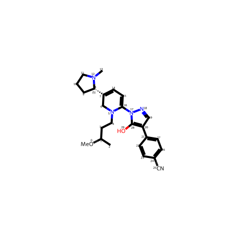 COC(C)CCN1CC([C@@H]2CCCN2C)=CC=C1n1ncc(-c2ccc(C#N)cc2)c1O